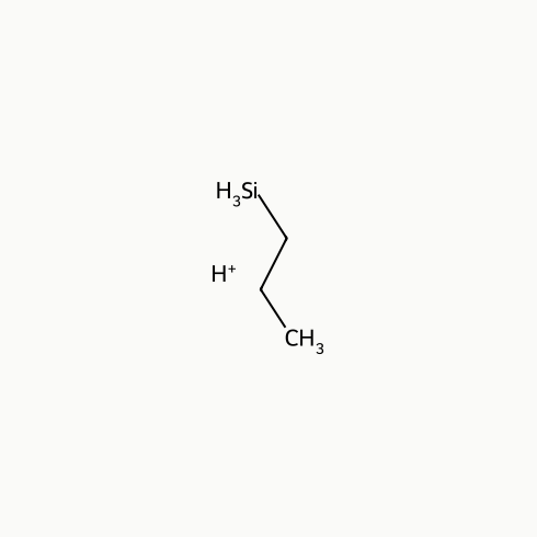 CCC[SiH3].[H+]